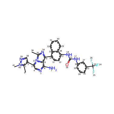 Cc1c(-c2cnc(N)c3c(-c4ccc(NC(=O)Nc5cccc(C(F)(F)F)c5)c5ccccc45)nc(C)n23)cnn1C